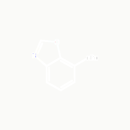 [CH2]CCCc1cccc2ncoc12